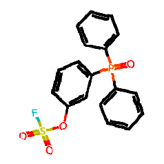 O=P(c1ccccc1)(c1ccccc1)c1cccc(OS(=O)(=O)F)c1